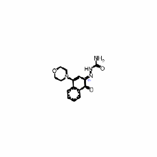 NC(=O)N/N=C1\C=C(N2CCOCC2)c2ccccc2C1=O